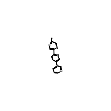 Cc1cnc(-c2ccc(-c3cccnc3)cn2)cn1